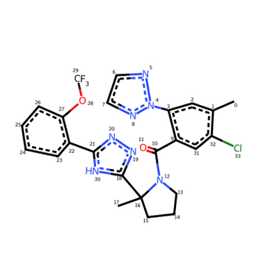 Cc1cc(-n2nccn2)c(C(=O)N2CCCC2(C)c2nnc(-c3ccccc3OC(F)(F)F)[nH]2)cc1Cl